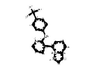 FC(F)(F)c1ccc(Oc2ncccc2-c2cccc3ccnn23)cc1